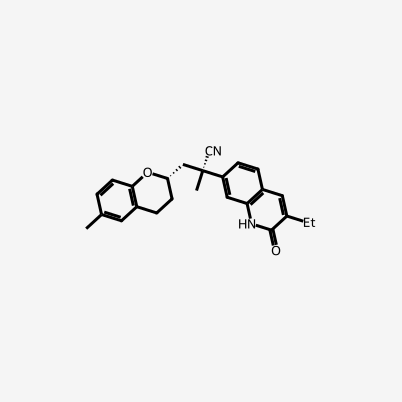 CCc1cc2ccc([C@](C)(C#N)C[C@@H]3CCc4cc(C)ccc4O3)cc2[nH]c1=O